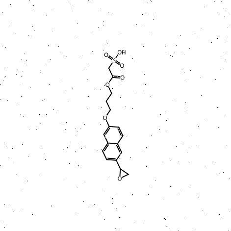 O=C(CS(=O)(=O)O)OCCCOc1ccc2cc(C3CO3)ccc2c1